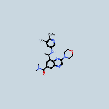 COc1ncc(NC(C)c2cc(C(=O)N(C)C)cc3ncc(N4CCOCC4)nc23)cc1C(F)(F)F